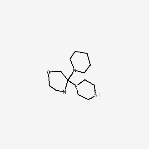 C1CCN(C2(N3CCNCC3)COCC[N]2)CC1